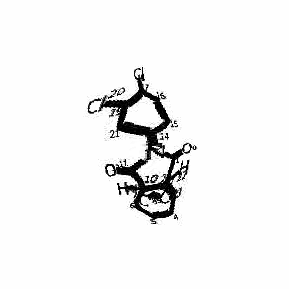 O=C1[C@@H]2C3C=CC(CCC3)[C@@H]2C(=O)N1c1ccc(Cl)c(Cl)c1